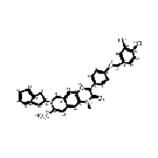 CN1C(=O)[C@H](c2ccc(OCc3ccc(Cl)c(Cl)c3)cc2)Oc2cc3c(cc21)CC(C(=O)O)N(C1Cc2ccccc2C1)C3